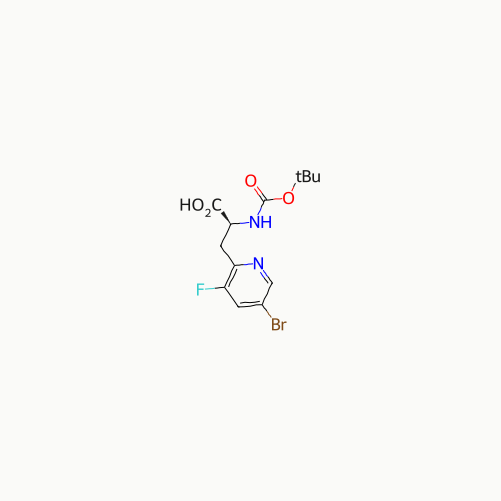 CC(C)(C)OC(=O)N[C@@H](Cc1ncc(Br)cc1F)C(=O)O